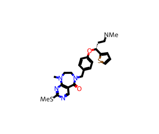 CNCC[C@@H](Oc1ccc(CN2CCN(C)c3nc(SC)ncc3C2=O)cc1)c1cccs1